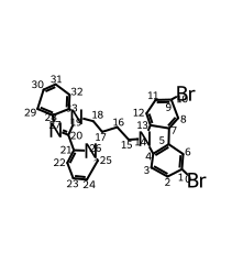 Brc1ccc2c(c1)c1cc(Br)ccc1n2CCCCn1c(-c2ccccn2)nc2ccccc21